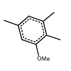 COc1cc(C)[c]c(C)c1C